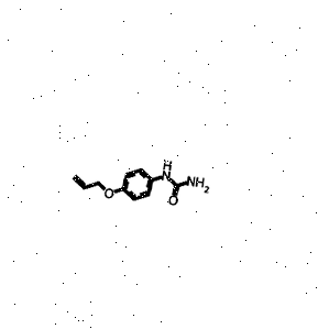 C=CCOc1ccc(NC(N)=O)cc1